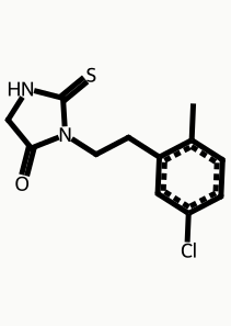 Cc1ccc(Cl)cc1CCN1C(=O)CNC1=S